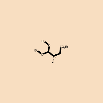 CCOC(=O)C[C@H](C)C(OCC)OCC